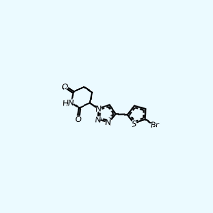 O=C1CCC(n2cc(-c3ccc(Br)s3)nn2)C(=O)N1